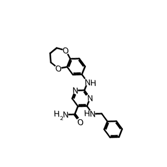 NC(=O)c1cnc(Nc2ccc3c(c2)OCCCO3)nc1NCc1ccccc1